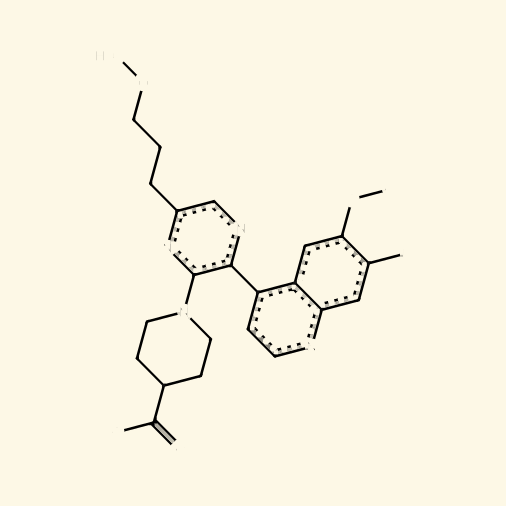 COCCCc1cnc(-c2ccnc3cc(F)c(OC)cc23)c(N2CCC(C(=O)O)CC2)n1